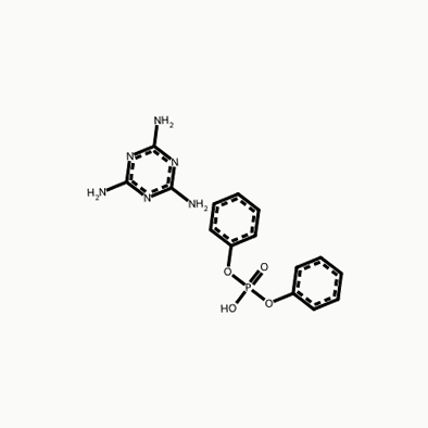 Nc1nc(N)nc(N)n1.O=P(O)(Oc1ccccc1)Oc1ccccc1